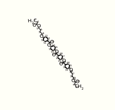 C=CC(=O)OCCCCOc1ccc(C(=O)Oc2ccc(OC(=O)c3ccc(OC(=O)c4ccc(OCCCCOC(=O)C=C)cc4)cc3)cc2)cc1